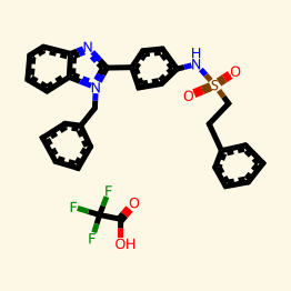 O=C(O)C(F)(F)F.O=S(=O)(CCc1ccccc1)Nc1ccc(-c2nc3ccccc3n2Cc2ccccc2)cc1